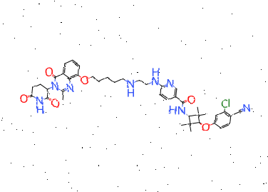 Cc1nc2c(OCCCCCNCCNc3ccc(C(=O)N[C@H]4C(C)(C)[C@H](Oc5ccc(C#N)c(Cl)c5)C4(C)C)cn3)cccc2c(=O)n1C1CCC(=O)NC1=O